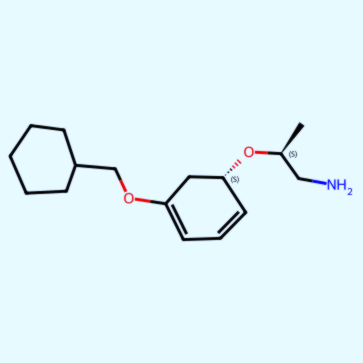 C[C@@H](CN)O[C@@H]1C=CC=C(OCC2CCCCC2)C1